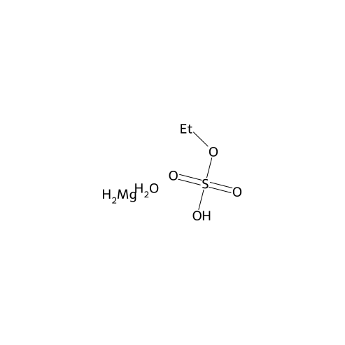 CCOS(=O)(=O)O.O.[MgH2]